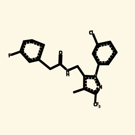 Cc1c(C(F)(F)F)nn(-c2cccc(Cl)c2)c1CNC(=O)Cc1cccc(F)c1